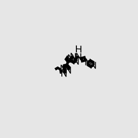 CCc1cnc2ncc(-c3ccn4nc(N[C@H]5C[C@@H](N6CCN(C)CC6)C5)ncc34)cn12